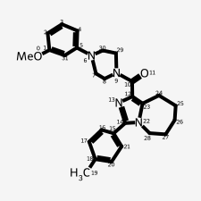 COc1cccc(N2CCN(C(=O)c3nc(-c4ccc(C)cc4)n4c3CCCCC4)CC2)c1